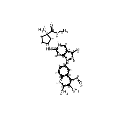 CNC(=O)[C@]1(C)CC[C@@H](Nc2ncc3c(Br)nn(-c4ccc5nc(C)c(C)c(P=O)c5c4)c3n2)C1